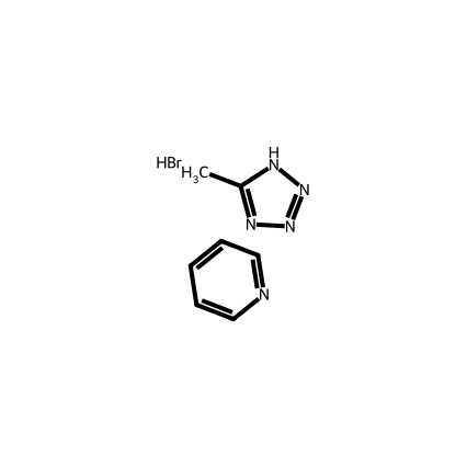 Br.Cc1nnn[nH]1.c1ccncc1